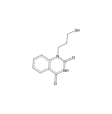 O=c1[nH]c(=O)n(CCCS)c2ccccc12